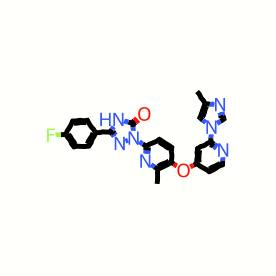 Cc1cn(-c2cc(Oc3ccc(-n4nc(-c5ccc(F)cc5)[nH]c4=O)nc3C)ccn2)cn1